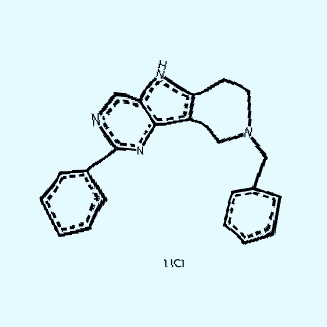 Cl.c1ccc(CN2CCc3[nH]c4cnc(-c5ccccc5)nc4c3C2)cc1